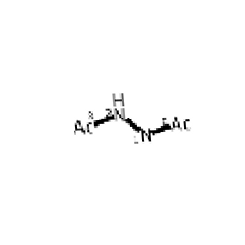 CC(=O)[N]NC(C)=O